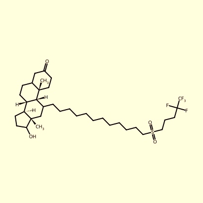 C[C@]12CCC(=O)CC1CC[C@@H]1[C@H]2C(CCCCCCCCCCCCS(=O)(=O)CCCC(F)(F)C(F)(F)F)C[C@]2(C)C(O)CC[C@@H]12